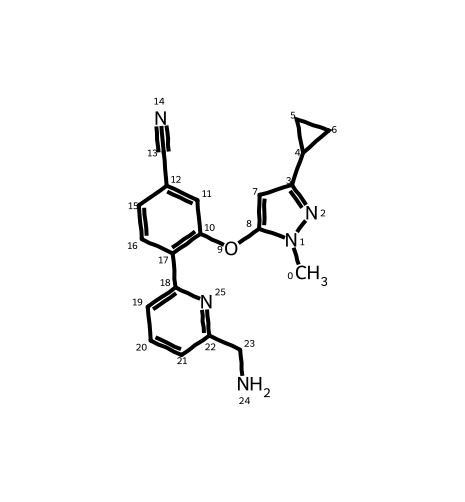 Cn1nc(C2CC2)cc1Oc1cc(C#N)ccc1-c1cccc(CN)n1